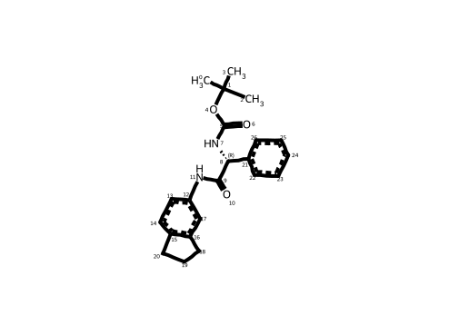 CC(C)(C)OC(=O)N[C@@H](C(=O)Nc1ccc2c(c1)CCC2)c1ccccc1